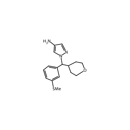 CSc1cccc(C(C2CCOCC2)n2cc(N)cn2)c1